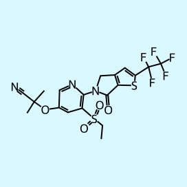 CCS(=O)(=O)c1cc(OC(C)(C)C#N)cnc1N1Cc2cc(C(F)(F)C(F)(F)F)sc2C1=O